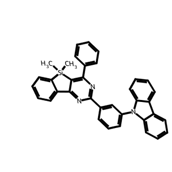 C[Si]1(C)c2ccccc2-c2nc(-c3cccc(-n4c5ccccc5c5ccccc54)c3)nc(-c3ccccc3)c21